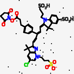 CC1(C)C(/C=C/C(=C/C=C2/N(CCCS(=O)(=O)O)c3ccc(S(=O)(=O)O)cc3C2(C)C)c2ccc(CCC(=O)ON3C(=O)CCC3=O)cc2)=Nc2c1cc(Cl)c[n+]2CCCS(=O)(=O)[O-]